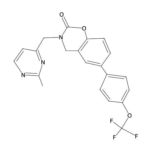 Cc1nccc(CN2Cc3cc(-c4ccc(OC(F)(F)F)cc4)ccc3OC2=O)n1